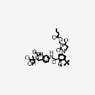 CCCC(=O)OCN1C(=O)CCN(c2cc(C(=O)Nc3ccc(CN([SH](=O)=O)C(C)(CC)C(=O)O)cc3)c(OC)c(C(C)(C)C)c2)C1=O